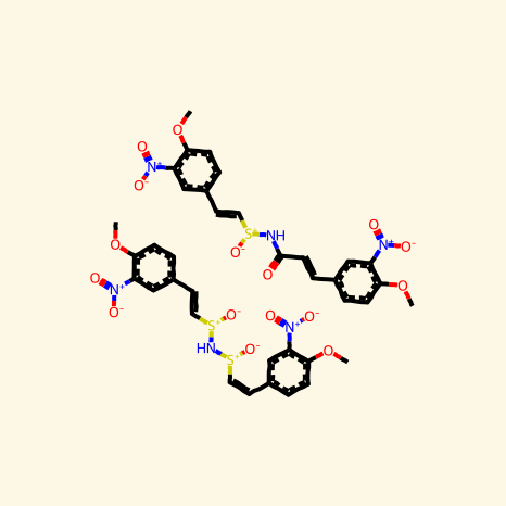 COc1ccc(/C=C/C(=O)N[S+]([O-])/C=C/c2ccc(OC)c([N+](=O)[O-])c2)cc1[N+](=O)[O-].COc1ccc(/C=C\[S+]([O-])N[S+]([O-])/C=C/c2ccc(OC)c([N+](=O)[O-])c2)cc1[N+](=O)[O-]